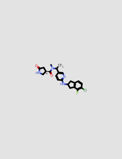 CN(C(=O)[C@H]1CNC(=O)C1)C(c1ccc(NC2Cc3ccc(Cl)c(F)c3C2)nc1)C(F)(F)F